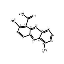 O=C(O)c1c(O)ccc2nc3c(O)cccc3nc12